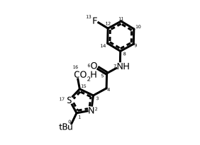 CC(C)(C)c1nc(CC(=O)Nc2cccc(F)c2)c(C(=O)O)s1